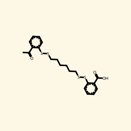 CC(=O)c1ccccc1SSCCCCCCSSc1ccccc1C(=O)O